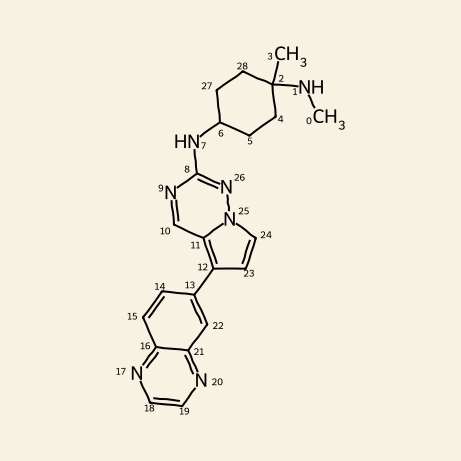 CNC1(C)CCC(Nc2ncc3c(-c4ccc5nccnc5c4)ccn3n2)CC1